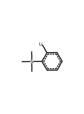 [Li][c]1ccccc1[Si](C)(C)C